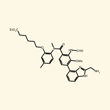 CCOC(=O)CCCCCOc1cc(C)ccc1N(C)C(=O)c1ccc(-c2cccc3[nH]c(CN)nc23)c(OC)c1NC=O